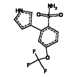 NS(=O)(=O)c1ccc(OC(F)(F)F)cc1-c1cc[nH]c1